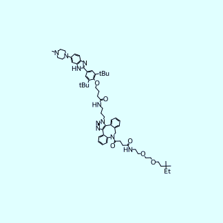 CCC(C)(C)CCOCCOCCNC(=O)CCC(=O)N1Cc2ccccc2-c2c(nnn2CCCNC(=O)CCCOc2c(C(C)(C)C)cc(-c3nc4ccc(N5CCN(C)CC5)cc4[nH]3)cc2C(C)(C)C)-c2ccccc21